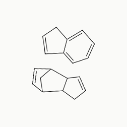 C1=CC2C3C=CC(C3)C2C1.C1=Cc2ccccc2C1